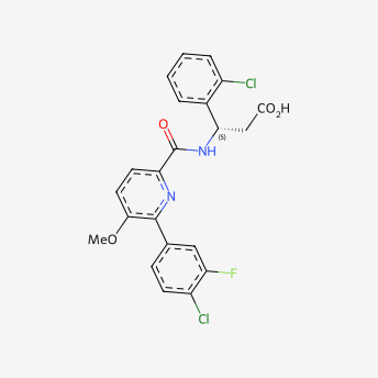 COc1ccc(C(=O)N[C@@H](CC(=O)O)c2ccccc2Cl)nc1-c1ccc(Cl)c(F)c1